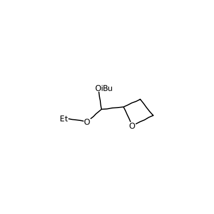 CCOC(OCC(C)C)C1CCO1